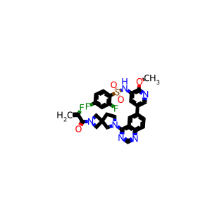 C=C(F)C(=O)N1CC2(CCN(c3ncnc4ccc(-c5cnc(OC)c(NS(=O)(=O)c6ccc(F)cc6F)c5)cc34)C2)C1